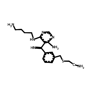 N=C(c1cccc(CSCCN)c1)c1c(N)ncnc1NCCCCN